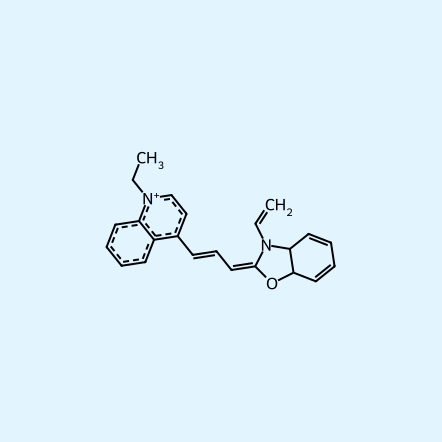 C=CN1C(=CC=Cc2cc[n+](CC)c3ccccc23)OC2C=CC=CC21